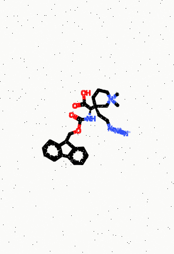 C[N+]1(C)CCC[C@@](CCN=[N+]=[N-])([C@H](NC(=O)OCC2c3ccccc3-c3ccccc32)C(=O)O)C1